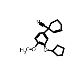 COc1ccc(C2(C#N)C=[C]CCC2)cc1OC1CCCC1